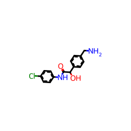 NCc1ccc(C(O)C(=O)Nc2ccc(Cl)cc2)cc1